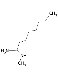 CCCCCCCC(N)NC